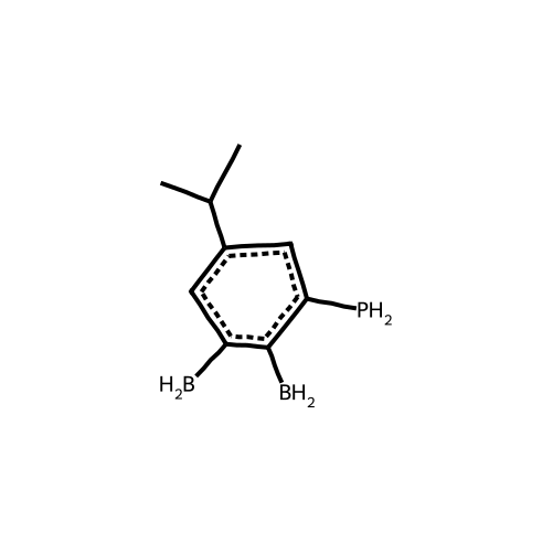 Bc1cc(C(C)C)cc(P)c1B